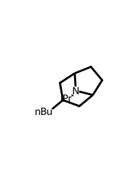 CCCCC1CC2CCC(C1)N2C(C)C